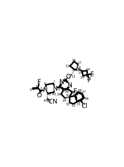 C=C(F)C(=O)N1CCN(c2nc(OC[C@@H]3CCCN3C3CC(F)(F)C3)nc3c2CC[C@@]2(CCc4c(Cl)cccc42)[C@H]3F)C[C@@H]1CC#N